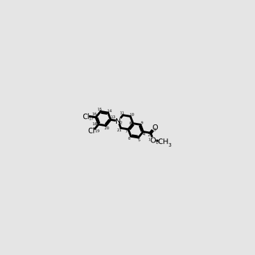 COC(=O)c1ccc2c(c1)CCN(c1ccc(Cl)c(Cl)c1)C2